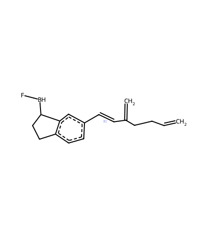 C=CCCC(=C)/C=C/c1ccc2c(c1)C(BF)CC2